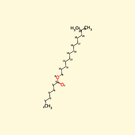 CCCCCCC(=O)OCCCCCCCCCCCC(C)C